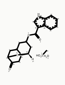 CS(=O)(=O)O.O.O=C(OC1CC2CC3C[C@H](C1)N2CC3=O)c1c[nH]c2ccccc12